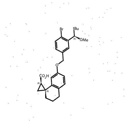 CO[C@@H](c1cc(COc2ccc3c(c2)[C@]2(CCC3)C[C@H]2C(=O)O)ccc1Br)C(C)(C)C